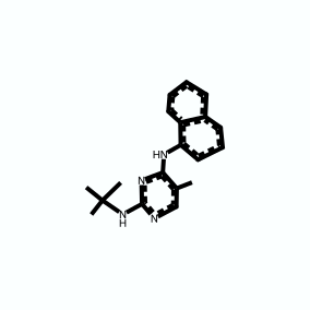 Cc1cnc(NC(C)(C)C)nc1Nc1cccc2ccccc12